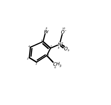 Cc1cc[c]c(Br)c1[N+](=O)[O-]